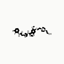 COc1cc2c(Nc3cnn(CC(=O)Nc4cccc(F)c4F)c3)ncnc2cc1OCCN1CCN(CCO)CC1